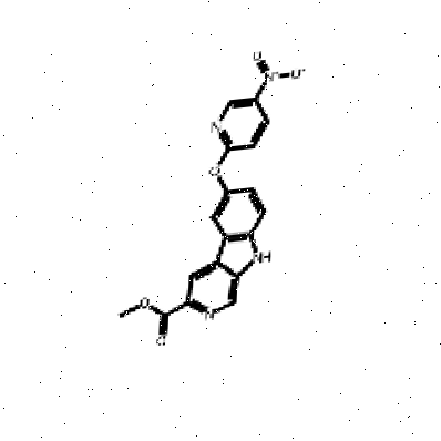 COC(=O)c1cc2c(cn1)[nH]c1ccc(Oc3ccc([N+](=O)[O-])cn3)cc12